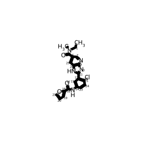 CCN(C)C(=O)c1cnc2nc(-c3cc(NC(=O)c4ccco4)ccc3Cl)[nH]c2c1